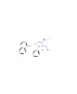 COc1ccc(S(=O)(=O)N(CC(C)C)C(CCSCc2cccc3ccccc23)C(=O)NO)cc1